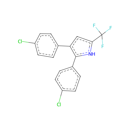 FC(F)(F)c1cc(-c2ccc(Cl)cc2)c(-c2ccc(Cl)cc2)[nH]1